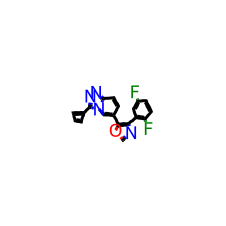 Fc1ccc(F)c(-c2ncoc2-c2ccc3nnc(C4=CC=C4)n3c2)c1